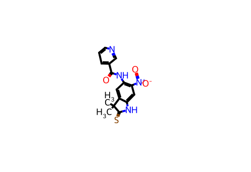 CC1(C)C(=S)Nc2cc([N+](=O)[O-])c(NC(=O)c3cccnc3)cc21